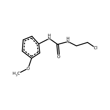 COc1cccc(NC(=O)NCCCl)c1